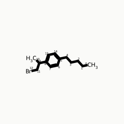 CCCCCc1ccc(C(C)CBr)cc1